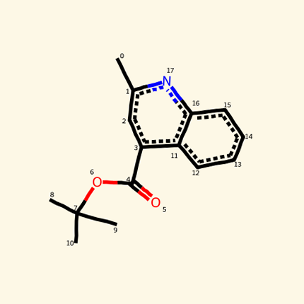 Cc1cc(C(=O)OC(C)(C)C)c2ccccc2n1